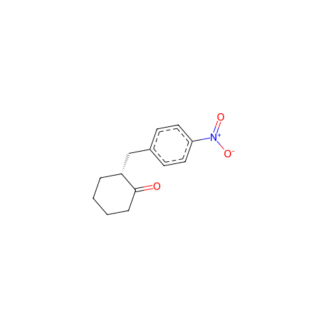 O=C1CCCC[C@@H]1Cc1ccc([N+](=O)[O-])cc1